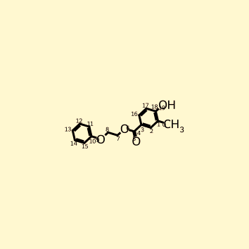 Cc1cc(C(=O)OCCOc2ccccc2)ccc1O